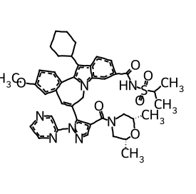 COc1ccc2c(c1)C=C(c1c(C(=O)N3C[C@@H](C)O[C@@H](C)C3)cnn1-c1cnccn1)Cn1c-2c(C2CCCCC2)c2ccc(C(=O)NS(=O)(=O)C(C)C)cc21